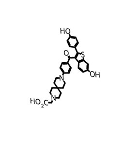 O=C(O)CN1CCC2(CC1)CCN(c1ccc(C(=O)c3c(-c4ccc(O)cc4)sc4cc(O)ccc34)cc1)CC2